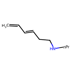 C=CC=CCCNCCC